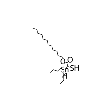 CCCCCCCCCCCCOC(=O)[CH](S)[SnH]([CH2]CCC)[CH2]CCC